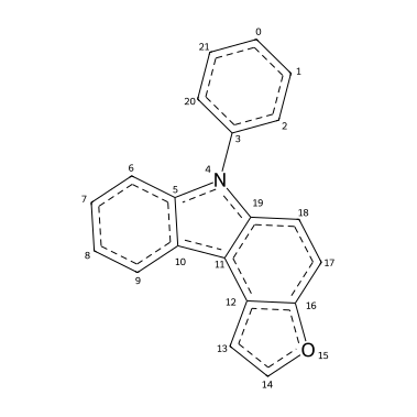 c1ccc(-n2c3ccccc3c3c4ccoc4ccc32)cc1